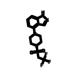 O=S(=O)(CC(F)(F)F)N1CCN(c2cccc3[nH]ncc23)CC1